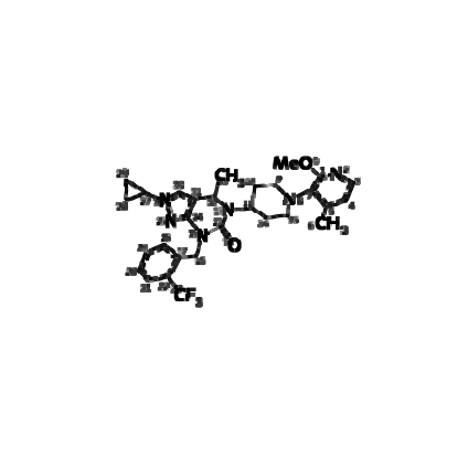 COc1nccc(C)c1N1CCC(N2C(=O)N(Cc3ccccc3C(F)(F)F)c3nn(C4CC4)cc3C2C)CC1